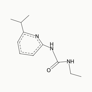 CCNC(=O)Nc1cccc(C(C)C)n1